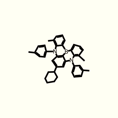 Cc1ccc(N2c3cc(C4CCCCC4)cc4c3B(c3cccc(C)c32)c2cccc(C)c2N4c2cccc(C)c2)cc1